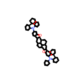 c1ccc(-c2ccccc2N(c2ccccc2)c2ccc3c(c2)oc2c3cc3ccc4c5oc6cc(N(c7ccccc7)c7ccccc7-c7ccccc7)ccc6c5cc5ccc2c3c54)cc1